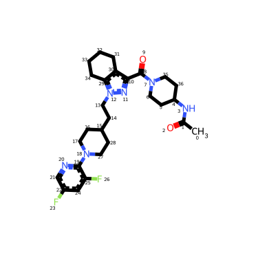 CC(=O)NC1CCN(C(=O)c2nn(CCC3CCN(c4ncc(F)cc4F)CC3)c3c2CCCC3)CC1